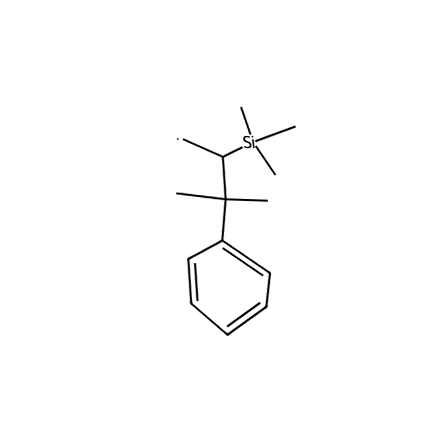 [CH2]C(C(C)(C)c1ccccc1)[Si](C)(C)C